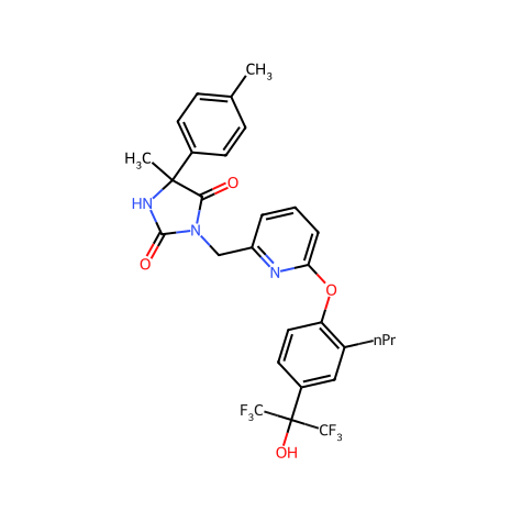 CCCc1cc(C(O)(C(F)(F)F)C(F)(F)F)ccc1Oc1cccc(CN2C(=O)NC(C)(c3ccc(C)cc3)C2=O)n1